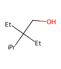 CCC(CC)(CO)C(C)C